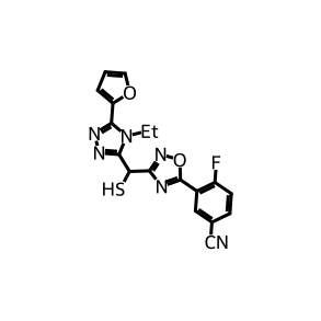 CCn1c(-c2ccco2)nnc1C(S)c1noc(-c2cc(C#N)ccc2F)n1